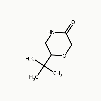 CC(C)(C)C1CNC(=O)CO1